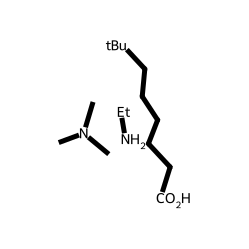 CC(C)(C)CCCCCC(=O)O.CCN.CN(C)C